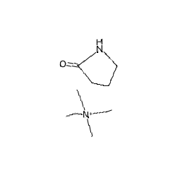 C[N+](C)(C)C.O=C1CCCN1